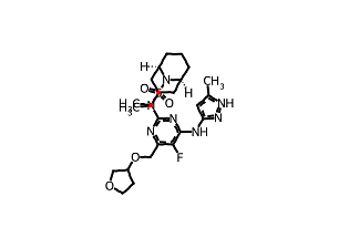 CCS(=O)(=O)N1[C@@H]2CCC[C@H]1CC(N(C)c1nc(COC3CCOC3)c(F)c(Nc3cc(C)[nH]n3)n1)C2